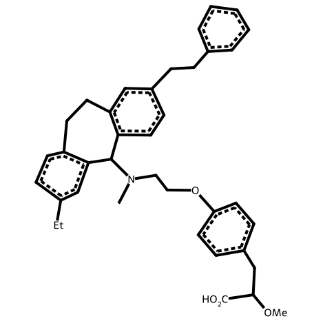 CCc1ccc2c(c1)C(N(C)CCOc1ccc(CC(OC)C(=O)O)cc1)c1ccc(CCc3ccccc3)cc1CC2